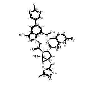 CC(=O)c1nn(CC(=O)N2[C@H](C(=O)Nc3nc(Br)ccc3C)C[C@@]3(Cc4nnc(C)o4)C[C@@H]23)c2c(CF)cc(-c3cnc(C)nc3)cc12